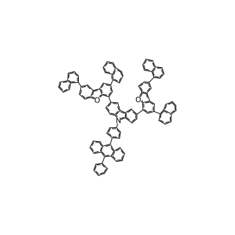 c1ccc(-c2c3ccccc3c(-c3ccc(-n4c5ccc(-c6cc(-c7cccc8ccccc78)cc7c6oc6ccc(-c8cccc9ccccc89)cc67)cc5c5cc(-c6cc(-c7cccc8ccccc78)cc7c6oc6ccc(-c8cccc9ccccc89)cc67)ccc54)cc3)c3ccccc23)cc1